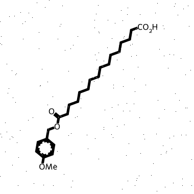 COc1ccc(COC(=O)CCCCCCCCCCCCCCC(=O)O)cc1